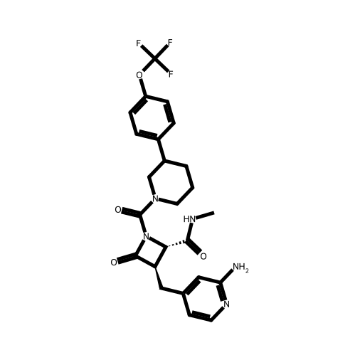 CNC(=O)[C@@H]1[C@@H](Cc2ccnc(N)c2)C(=O)N1C(=O)N1CCCC(c2ccc(OC(F)(F)F)cc2)C1